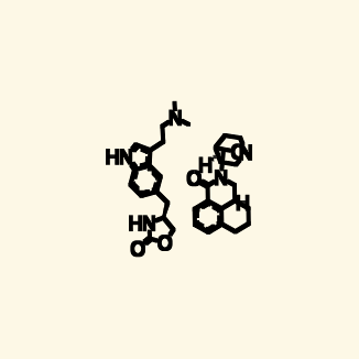 CN(C)CCc1c[nH]c2ccc(C[C@H]3COC(=O)N3)cc12.O=C1c2cccc3c2[C@H](CCC3)CN1[C@@H]1CN2CCC1CC2